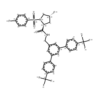 O=C(NCc1cc(-c2ccc(C(F)(F)F)nc2)nc(-c2ccc(C(F)(F)F)nc2)c1)[C@@H]1C[C@@H](F)CN1S(=O)(=O)c1ccc(F)cc1